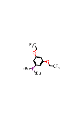 CC(C)(C)P(c1cc(OCC(F)(F)F)cc(OCC(F)(F)F)c1)C(C)(C)C